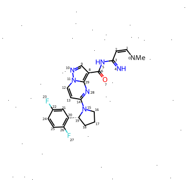 CN/C=C\C(=N)NC(=O)c1cnn2ccc(N3CCC[C@@H]3c3cc(F)ccc3F)nc12